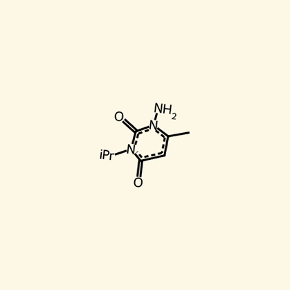 Cc1cc(=O)n(C(C)C)c(=O)n1N